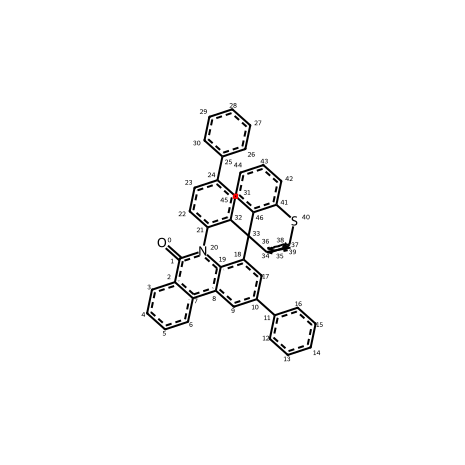 O=c1c2ccccc2c2cc(-c3ccccc3)cc3c2n1-c1ccc(-c2ccccc2)cc1C31c2ccccc2Sc2ccccc21